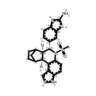 CS(=O)(=O)N1c2ccc3[nH]ncc3c2[C@H]2C3CCC(C3)[C@H]2[C@@H]1c1ccc2nc(N)sc2c1